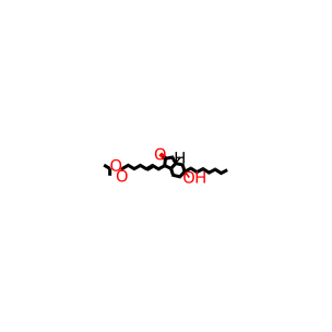 CCCCCCC[C@]1(O)CCC2C(CC=CCCCC(=O)OC(C)C)C(=O)C[C@@H]2C1